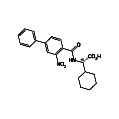 O=C(N[C@H](C(=O)O)C1CCCCC1)c1ccc(-c2ccccc2)cc1[N+](=O)[O-]